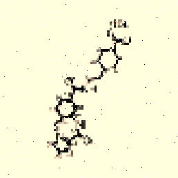 CC(C)(C)OC(=O)N1CCC(CCNC(=O)c2ccc3c(c2)NC(=O)c2cccn2S3)CC1